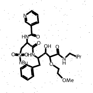 CCCCS(=O)(=O)CC(NC(=O)c1cccnc1)C(=O)NC(Cc1ccccc1)C(O)C(OCCOC)C(=O)NCC(C)C